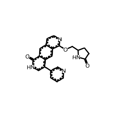 O=C1CCC(COc2nccc3cc4c(=O)[nH]cc(-c5cccnc5)c4cc23)N1